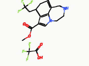 COC(=O)c1cn2c3c1C(CC(F)(F)F)CC=C3CNCC2.O=C(O)C(F)(F)F